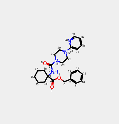 O=C(NC1(C(=O)OCc2ccccc2)CCCCC1)N1CCN(c2ccccn2)CC1